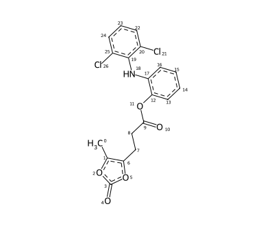 Cc1oc(=O)oc1CCC(=O)Oc1ccccc1Nc1c(Cl)cccc1Cl